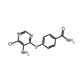 NC(=O)c1ccc(Sc2ncnc(Cl)c2N)cc1